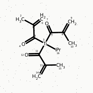 C=C(C)[C](=O)[Ti]([C](=O)C(=C)C)([C](=O)C(=C)C)[CH](C)C